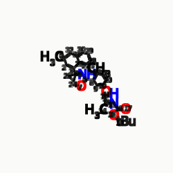 Cc1cc(C2(NC(=O)c3cc(OCC(C)NC(=O)OC(C)(C)C)ccc3C)CC2)c2ccccc2c1